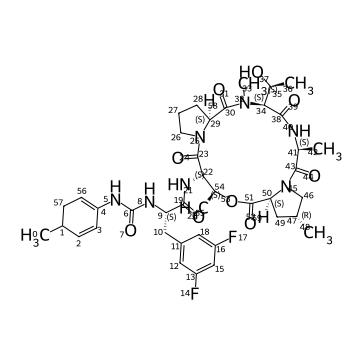 CC1C=CC(NC(=O)N[C@@H](Cc2cc(F)cc(F)c2)C(=O)N[C@@H]2C(=O)N3CCC[C@H]3C(=O)N(C)[C@@H]([C@H](C)O)C(=O)N[C@@H](C)C(=O)N3C[C@H](C)C[C@H]3C(=O)O[C@H]2C)=CC1